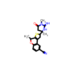 CC1Oc2ccc(C#N)cc2C2=C1SC([C@]1(C)CC(=O)N(C)C(=N)N1)C2